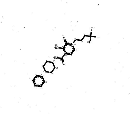 O=C(N[C@H]1CC[C@@H](c2ccccc2)CC1)c1ccn(CCCC(F)(F)F)c(=O)c1O